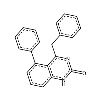 O=c1nc(Cc2ccccc2)c2c(-c3ccccc3)cccc2[nH]1